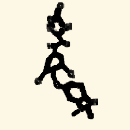 Cn1c(=O)[nH]c2ccc(Oc3c(Cl)cc(NC(=O)c4noc(=O)[nH]4)cc3Cl)cc21